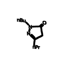 CCCCN1N=C(CCC)CC1=O